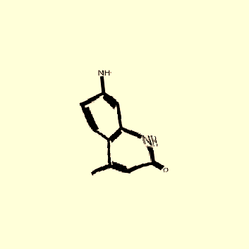 Cc1cc(=O)[nH]c2cc([NH])ccc12